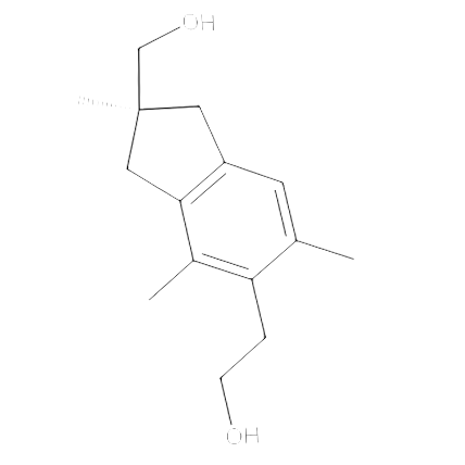 Cc1cc2c(c(C)c1CCO)C[C@@](C)(CO)C2